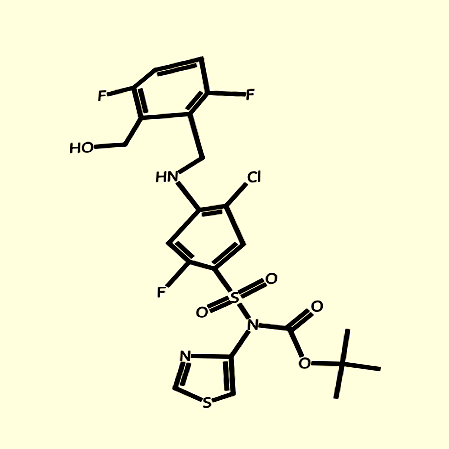 CC(C)(C)OC(=O)N(c1cscn1)S(=O)(=O)c1cc(Cl)c(NCc2c(F)ccc(F)c2CO)cc1F